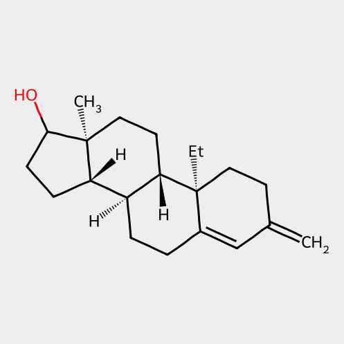 C=C1C=C2CC[C@@H]3[C@H](CC[C@]4(C)C(O)CC[C@@H]34)[C@@]2(CC)CC1